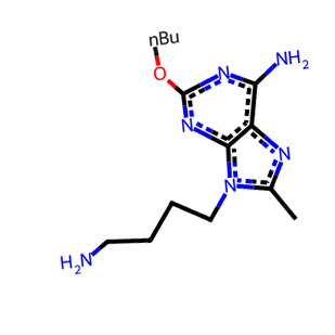 CCCCOc1nc(N)c2nc(C)n(CCCCN)c2n1